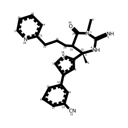 CN1C(=N)N[C@](C)(c2cc(-c3cccc(C#N)c3)cs2)C(CCCc2ccccn2)C1=O